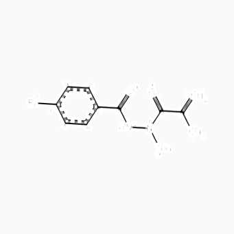 C=C(C)C(=O)N(NC(=O)c1ccc(CC)cc1)C(C)(C)C